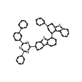 c1ccc(-c2cccc(-c3nc(-c4ccccc4)nc(-c4ccc5c(c4)sc4c(-c6cc(-c7ccccc7)cc7sc8ccccc8c67)cccc45)n3)c2)cc1